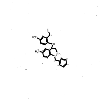 CCC(Pc1ccc(C)cc1CO)c1cc(C)ccc1OCc1ccccc1